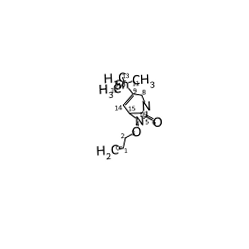 C=CCON1C(=O)N2C[C]([Sn]([CH3])([CH3])[CH3])=CC1C2